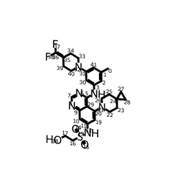 Cc1cc(Nc2ncnc3cc(NS(=O)(=O)CCO)cc(N4CCC5(CC4)CC5)c23)cc(N2CCC(=C(F)F)CC2)c1